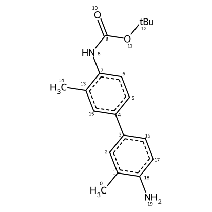 Cc1cc(-c2ccc(NC(=O)OC(C)(C)C)c(C)c2)ccc1N